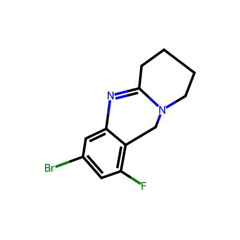 Fc1cc(Br)cc2c1CN1CCCCC1=N2